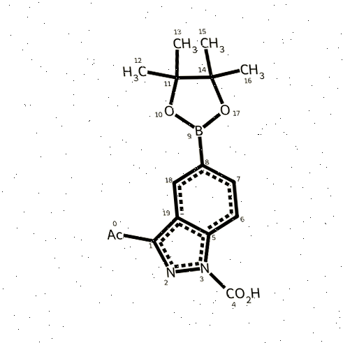 CC(=O)c1nn(C(=O)O)c2ccc(B3OC(C)(C)C(C)(C)O3)cc12